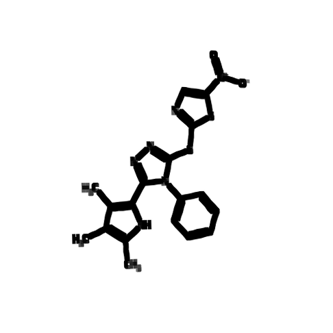 Cc1[nH]c(-c2nnc(Sc3ncc([N+](=O)[O-])s3)n2-c2ccccc2)c(C)c1C